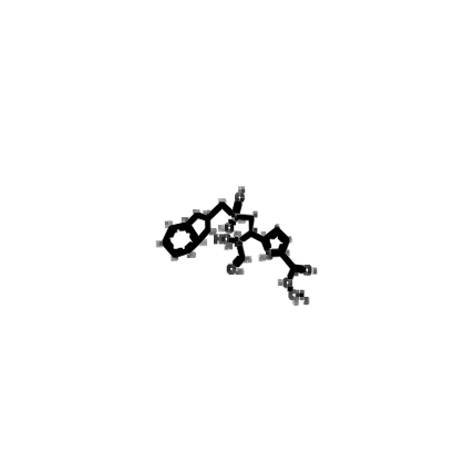 COC(=O)c1ccc([C@H](CS(=O)(=O)CC2Cc3ccccc3C2)N(O)C=O)s1